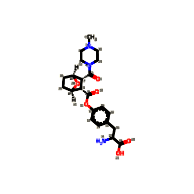 CN1CCN(C(=O)[C@@H]2[C@H](C(=O)Oc3ccc(CC(N)C(=O)O)cc3)[C@H]3CC[C@@H]2O3)CC1